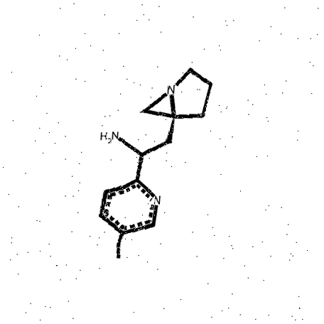 Cc1ccc(C(N)C[C@]23CCCN2C3)nc1